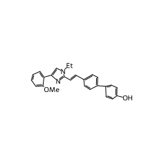 CCn1cc(-c2ccccc2OC)nc1/C=C/c1ccc(-c2ccc(O)cc2)cc1